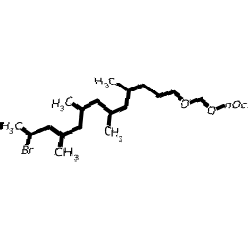 CCCCCCCCOCOCCCC(C)CC(C)CC(C)CC(C)CC(C)Br